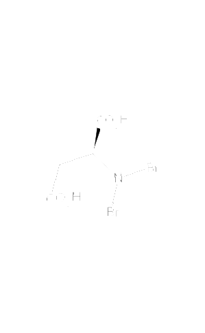 O=C(O)C[C@@H](C(=O)O)N(Br)Br